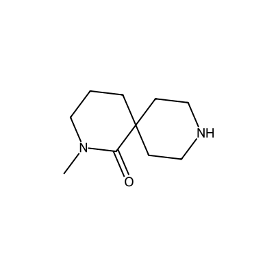 CN1CCCC2(CCNCC2)C1=O